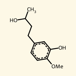 COc1ccc(CCC(C)O)cc1O